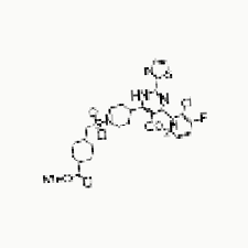 COC(=O)C1CCC(CS(=O)(=O)N2CCC(C3=C(C(=O)O)C(c4cccc(F)c4Cl)N=C(c4nccs4)N3)CC2)CC1